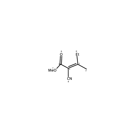 CC/C(C)=C(/C#N)C(=O)OC